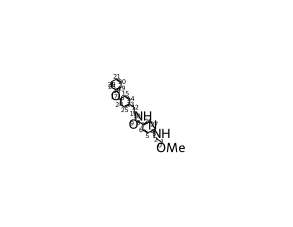 COCCNc1ccc(C(=O)NCCc2ccc(Oc3ccccc3)cc2)cn1